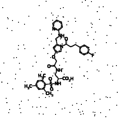 Cc1cc(C)c(S(=O)(=O)NC(CNC(=O)COc2cc(CNc3ccccn3)n(C(=O)CCc3ccc(F)cc3)c2)C(=O)O)c(C)c1